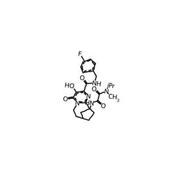 CC(C)N(C)C(=O)C(=O)NC12CCC(CCn3c1nc(C(=O)NCc1ccc(F)cc1)c(O)c3=O)C2